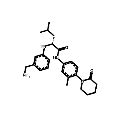 Cc1cc(NC(=O)[C@@H](CC(C)C)Nc2cccc(CN)c2)ccc1N1CCCCC1=O